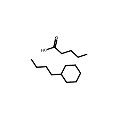 CCCCC(=O)O.CCCCC1CCCCC1